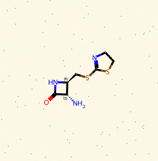 N[C@@H]1C(=O)N[C@H]1CSC1=NCCS1